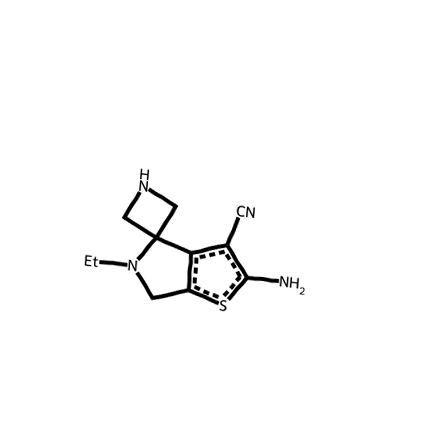 CCN1Cc2sc(N)c(C#N)c2C12CNC2